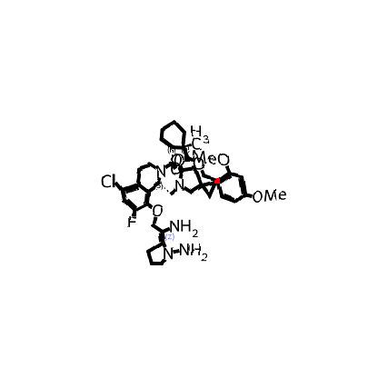 COc1ccc(COC(=O)[C@@]2(C)CCCC[C@H]2C(=O)N2CCc3c(Cl)cc(F)c(OC/C(N)=C4\CCCN4N)c3[C@H]2CN2CC3(CC3)CC2=O)c(OC)c1